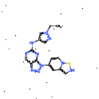 CCn1cc(Nc2ncc3nnn(C4=CC5=CNSN5C=C4)c3n2)cn1